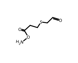 NOC(=O)CCSCC=O